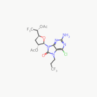 CC(=O)O[C@H]([C@@H]1C[C@@H](OC(C)=O)[C@H](n2c(=O)n(CCC(F)(F)F)c3c(Cl)nc(N)nc32)O1)C(F)(F)F